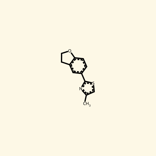 Cc1csc(-c2ccc3c(c2)CCO3)n1